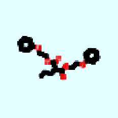 CCCC(C(=O)OCCOc1ccccc1)C(=O)OCCOc1ccccc1